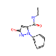 CCNC(=O)c1cc(=O)[nH]n1-c1ccccc1